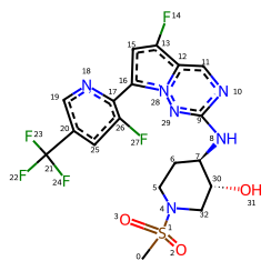 CS(=O)(=O)N1CC[C@@H](Nc2ncc3c(F)cc(-c4ncc(C(F)(F)F)cc4F)n3n2)[C@H](O)C1